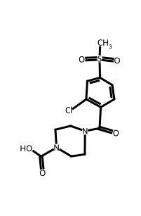 CS(=O)(=O)c1ccc(C(=O)N2CCN(C(=O)O)CC2)c(Cl)c1